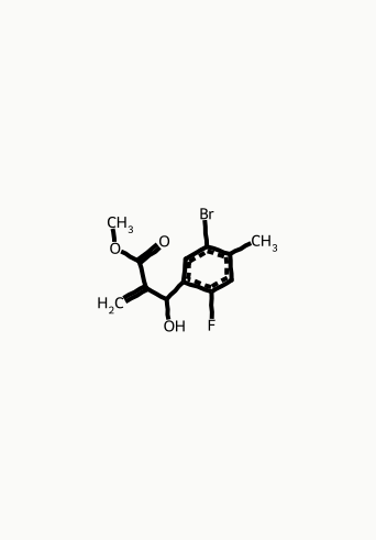 C=C(C(=O)OC)C(O)c1cc(Br)c(C)cc1F